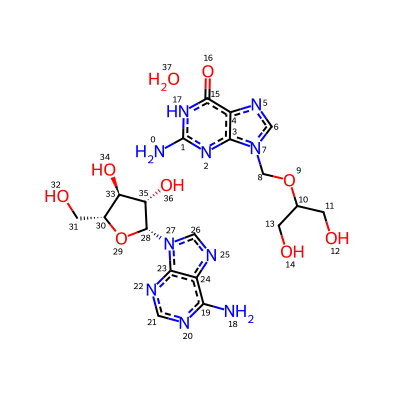 Nc1nc2c(ncn2COC(CO)CO)c(=O)[nH]1.Nc1ncnc2c1ncn2[C@@H]1O[C@H](CO)[C@@H](O)[C@@H]1O.O